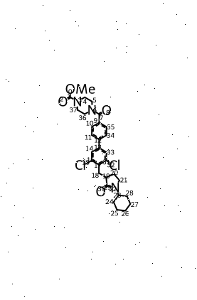 COC(=O)N1CCN(C(=O)c2ccc(-c3cc(Cl)c(CC4CCN(C5CCCCC5)C4=O)c(Cl)c3)cc2)CC1